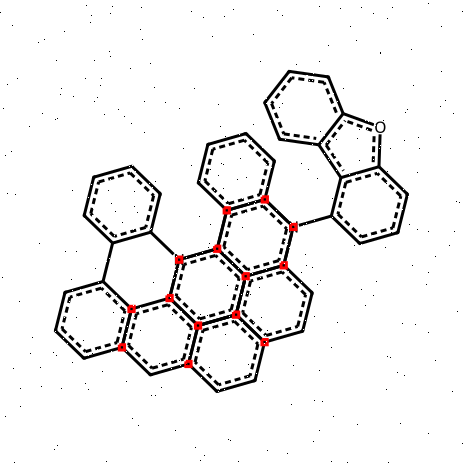 c1ccc(-c2ccccc2N(c2ccccc2-c2ccccc2)c2ccccc2-c2cccc(N(c3ccccc3-c3ccccc3)c3cccc4oc5ccccc5c34)c2)cc1